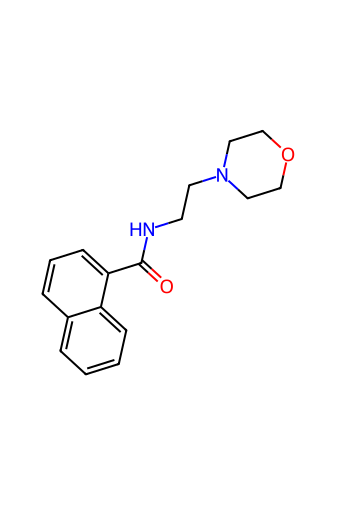 O=C(NCCN1CCOCC1)c1cccc2ccccc12